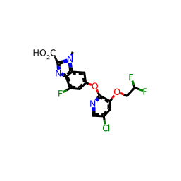 Cn1c(C(=O)O)nc2c(F)cc(Oc3ncc(Cl)cc3OCC(F)F)cc21